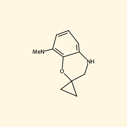 CNc1cccc2c1OC1(CC1)CN2